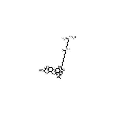 C=C(C)[C@@H]1CC[C@]2(C(=O)NCCCCCCCC(=O)NCCCC[C@H](N)C(=O)O)CC[C@]3(C)[C@H](CCC4[C@@]5(C)CC[C@H](O)C(C)(C)[C@@H]5CC[C@]43C)[C@@H]12